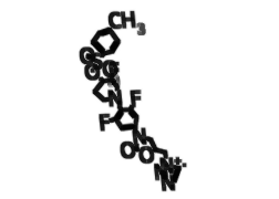 Cc1ccc(S(=O)(=O)OC2CCN(c3c(F)cc(N4CC(C[N+]5C=CN=N5)OC4=O)cc3F)C[C@@H]2F)cc1